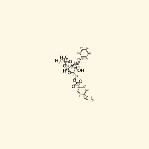 Cc1ccc(S(=O)(=O)OCC2O[C@@H]3OC(C)(C)O[C@@H]3[C@@]2(O)C#Cc2ccccc2)cc1